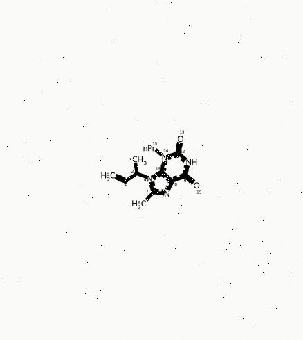 C=CC(C)n1c(C)nc2c(=O)[nH]c(=O)n(CCC)c21